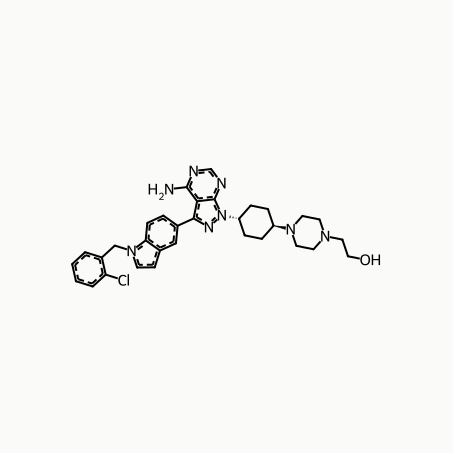 Nc1ncnc2c1c(-c1ccc3c(ccn3Cc3ccccc3Cl)c1)nn2[C@H]1CC[C@H](N2CCN(CCO)CC2)CC1